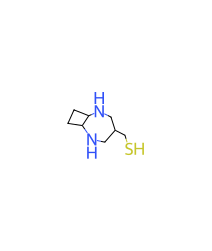 SCC1CNC2CCC2NC1